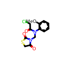 COc1ccccc1N(CN1C(=O)CSC1=O)C(=O)CCl